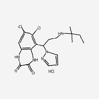 CCC(C)(C)NCCC(c1c(Cl)c(Cl)cc2[nH]c(=O)c(=O)[nH]c12)n1cccn1.Cl